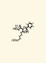 CCCCCCCCCCCCCC[C@@H](O)[C@@H](OC(=O)c1ccccc1)[C@@H](N)CO